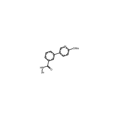 COc1ccc(-c2cccc(C(=O)NC(C)C)c2)cn1